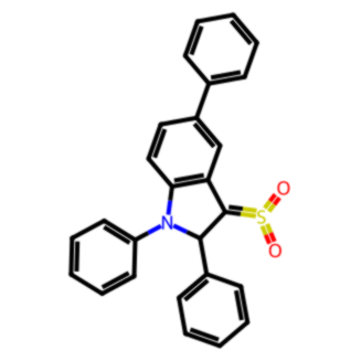 O=S(=O)=C1c2cc(-c3ccccc3)ccc2N(c2ccccc2)C1c1ccccc1